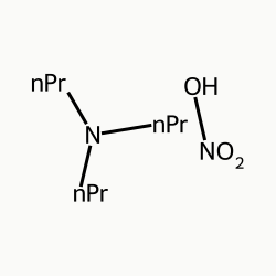 CCCN(CCC)CCC.O=[N+]([O-])O